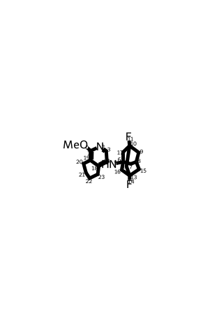 COc1ncc(NC23CC4CC(F)(CC(F)(C4)C2)C3)c2c1CCCC2